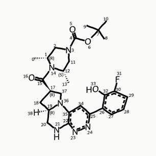 C[C@@H]1CN(C(=O)OC(C)(C)C)C[C@H](C)N1C(=O)[C@@H]1C[C@@H]2CNc3nnc(-c4cccc(F)c4O)cc3N2C1